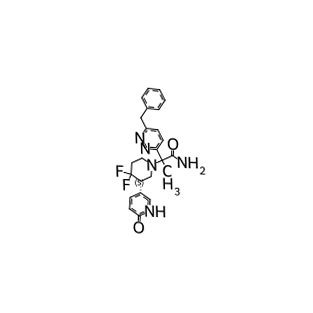 CC(C(N)=O)(c1ccc(Cc2ccccc2)nn1)N1CCC(F)(F)[C@@H](c2ccc(=O)[nH]c2)C1